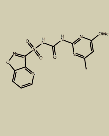 COc1cc(C)nc(NC(=O)NS(=O)(=O)c2noc3cccnc23)n1